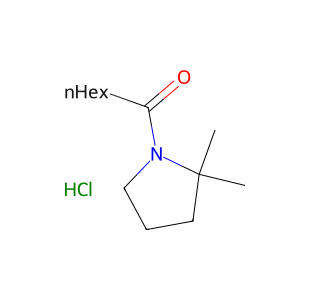 CCCCCCC(=O)N1CCCC1(C)C.Cl